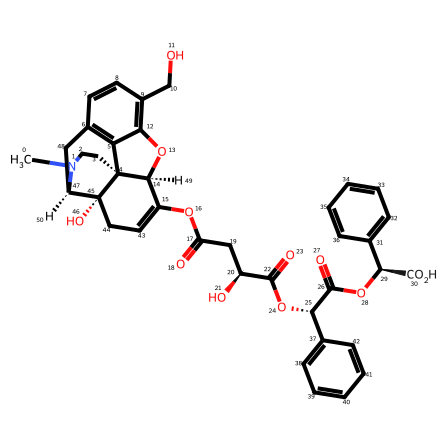 CN1CC[C@]23c4c5ccc(CO)c4O[C@H]2C(OC(=O)C[C@H](O)C(=O)O[C@H](C(=O)O[C@H](C(=O)O)c2ccccc2)c2ccccc2)=CC[C@@]3(O)[C@H]1C5